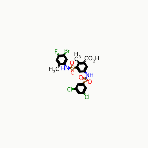 Cc1cc(F)c(Br)cc1NS(=O)(=O)c1cc(NS(=O)(=O)c2cc(Cl)cc(Cl)c2)cc(C(=O)O)c1C